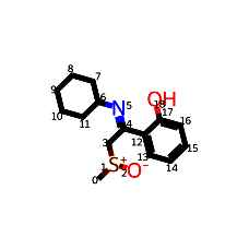 C[S+]([O-])CC(=NC1CCCCC1)c1ccccc1O